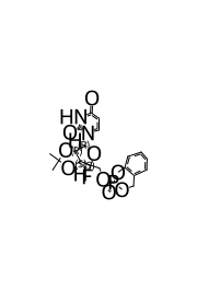 CC1(C)O[C@H]2[C@H](n3ccc(=O)[nH]c3=O)O[C@](F)(COP3(=O)OCc4ccccc4O3)[C@H]2O1